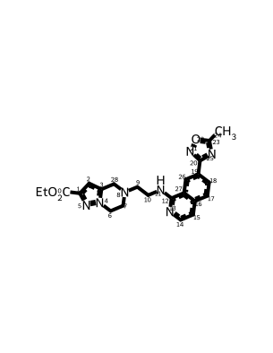 CCOC(=O)c1cc2n(n1)CCN(CCNc1nccc3ccc(-c4noc(C)n4)cc13)C2